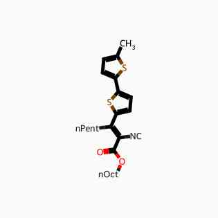 [C-]#[N+]/C(C(=O)OCCCCCCCC)=C(/CCCCC)c1ccc(-c2ccc(C)s2)s1